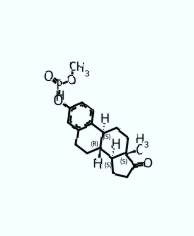 CO[PH](=O)Oc1ccc2c(c1)CC[C@@H]1[C@@H]2CC[C@]2(C)C(=O)CC[C@@H]12